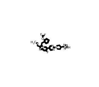 COCc1nc2cc(F)c(-c3cnc(N4CCC(c5nn[nH]n5)CC4)nc3)cn2c1Cc1ccccc1OC(F)F